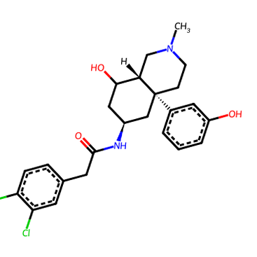 CN1CC[C@@]2(c3cccc(O)c3)C[C@@H](NC(=O)Cc3ccc(Cl)c(Cl)c3)CC(O)[C@@H]2C1